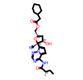 CC[C@H](C)C(=O)Nc1ncnn2c([C@]3(C#N)O[C@@H](COC(=O)CC4CCCCC4)[CH][C@H]3O)ccc12